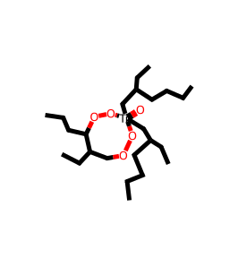 CCCCC(CC)[CH2][Ti]1(=[O])([CH2]C(CC)CCCC)[O]OCC(CC)C(CCC)O[O]1